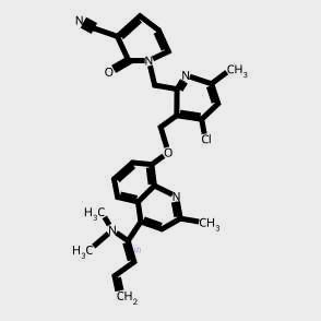 C=C/C=C(/c1cc(C)nc2c(OCc3c(Cl)cc(C)nc3Cn3cccc(C#N)c3=O)cccc12)N(C)C